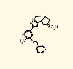 Nc1ncc(-c2cc3n(n2)CC[C@@]32CCN(C(=O)O)C2)cc1OCc1cccnn1